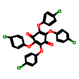 O=C1C(Oc2ccc(Cl)cc2)=C(Oc2ccc(Cl)cc2)C(=O)C(Oc2ccc(Cl)cc2)=C1Oc1ccc(Cl)cc1